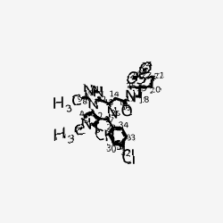 Cc1c2c(cn1C)-n1c(C)nnc1C(CC(=O)N1CC3(CCS3(=O)=O)C1)N=C2c1ccc(Cl)cc1